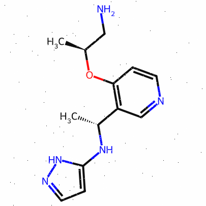 C[C@@H](CN)Oc1ccncc1[C@@H](C)Nc1ccn[nH]1